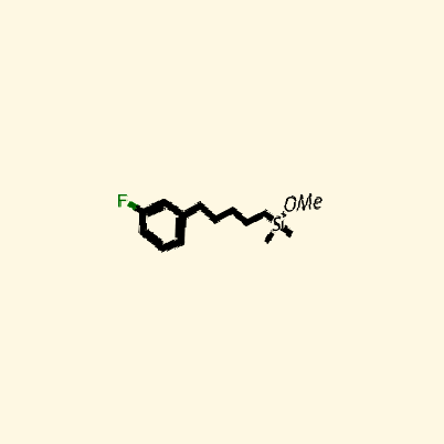 CO[Si](C)(C)CCCCCc1cccc(F)c1